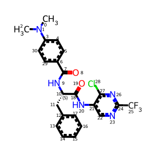 CN(C)c1ccc(C(=O)N[C@@H](Cc2ccccc2)C(=O)Nc2cnc(C(F)(F)F)nc2Cl)cc1